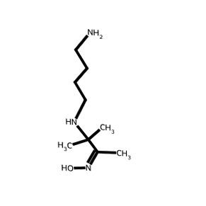 CC(=NO)C(C)(C)NCCCCN